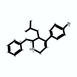 CC(C)CC1C(c2ccc(Br)cc2)=CCNC1Cc1ccccc1